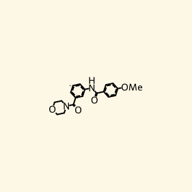 COc1ccc(C(=O)Nc2c[c]cc(C(=O)N3CCOCC3)c2)cc1